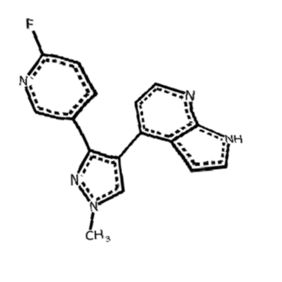 Cn1cc(-c2ccnc3[nH]ccc23)c(-c2ccc(F)nc2)n1